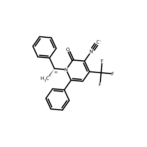 [C-]#[N+]c1c(C(F)(F)F)cc(-c2ccccc2)n([C@H](C)c2ccccc2)c1=O